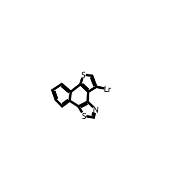 [Lr][c]1csc2c3ccccc3c3scnc3c12